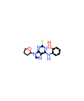 Oc1ccccc1Nc1nc(F)nc2c1ncn2C1CCCO1